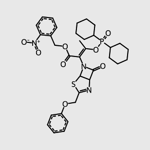 CC(OP(=O)(C1CCCCC1)C1CCCCC1)=C(C(=O)OCc1ccccc1[N+](=O)[O-])N1C(=O)C2N=C(COc3ccccc3)SC21